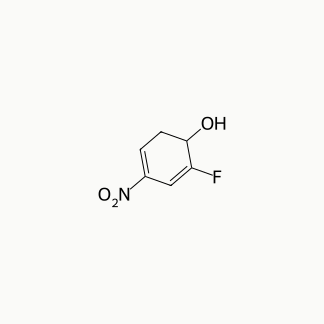 O=[N+]([O-])C1=CCC(O)C(F)=C1